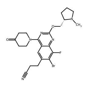 CN1CCC[C@H]1COc1nc(N2CCC(=O)CC2)c2cc(CCC#N)c(Br)c(F)c2n1